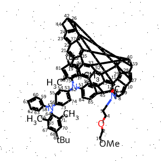 COCCOCCN1CC2C3=c4c5c6c7c(cc8cc9cc%10cc%11cc%12c%13c(c4c4c5c5c7c8c7c9c%10c8c%11c%13c4c8c75)=C(C3)C%12)CC62C1c1ccc(N(c2ccc(N(c3ccccc3)c3c(C)cc(C(C)(C)C)cc3C)cc2)c2c(C)cc(C(C)(C)C)cc2C)cc1